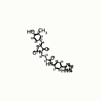 Cc1cc(/C=C2\SC(=O)N(CCCC(=O)Nc3ccc(-c4nnn[nH]4)cc3)C2=O)ccc1O